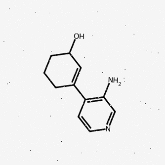 Nc1cnccc1C1=CC(O)CCC1